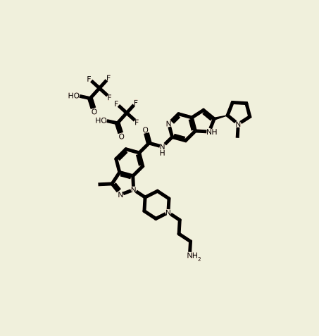 Cc1nn(C2CCN(CCCN)CC2)c2cc(C(=O)Nc3cc4[nH]c([C@H]5CCCN5C)cc4cn3)ccc12.O=C(O)C(F)(F)F.O=C(O)C(F)(F)F